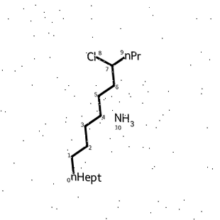 CCCCCCCCCCCCCC(Cl)CCC.N